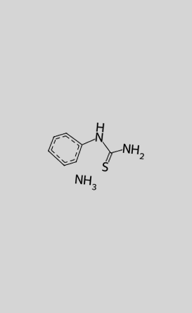 N.NC(=S)Nc1ccccc1